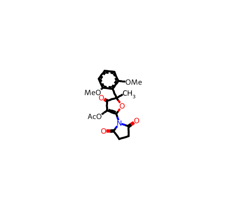 COc1cccc(OC)c1C1(C)OC(N2C(=O)CCC2=O)=C(OC(C)=O)C1=O